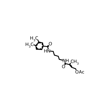 CC(=O)OC/C=C(\C)C(=O)NCCCCNC(=O)c1ccc(C)c(C)c1